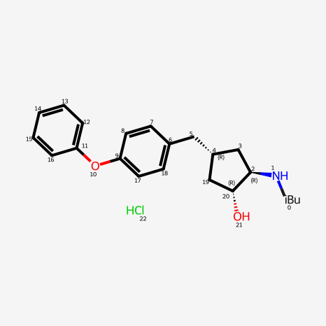 CCC(C)N[C@@H]1C[C@@H](Cc2ccc(Oc3ccccc3)cc2)C[C@H]1O.Cl